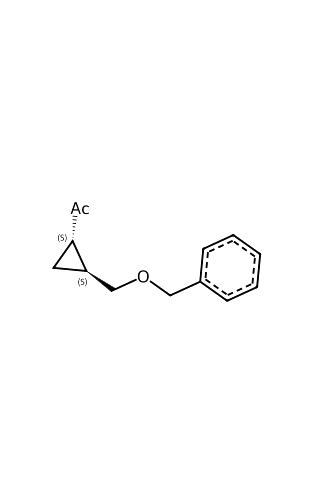 CC(=O)[C@H]1C[C@@H]1COCc1ccccc1